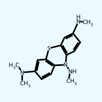 CNc1ccc2c(c1)Sc1cc(N(C)C)ccc1N2NC